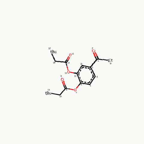 CCC(=O)c1ccc(OC(=O)CC(C)(C)C)c(OC(=O)CC(C)(C)C)c1